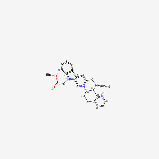 CCCCCN(Cc1cc2c3ccccc3n(CC(=O)OC(C)(C)C)c2cn1)C1CCCc2cccnc21